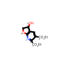 CCOC(=O)c1cc2c(nc1C(=O)OCC)OCC2O